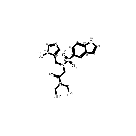 CC(C)CN(CC(C)C)C(=O)CN(Cc1cncn1C)S(=O)(=O)c1ccc2occc2c1